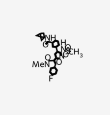 CNC(=O)c1c(-c2ccc(F)cc2)oc2nc(NS(C)(=O)=O)c(-c3cccc(C(=O)NC45CC6CC64C5)c3)cc12